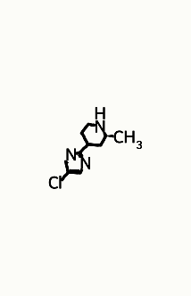 C[C@H]1CC(c2ncc(Cl)cn2)CCN1